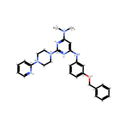 CN(C)c1cc(Nc2cccc(OCc3ccccc3)c2)nc(N2CCN(c3ccccn3)CC2)n1